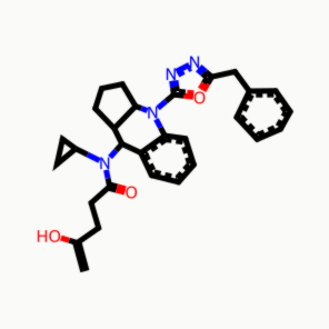 C=C(O)CCC(=O)N(C1CC1)C1c2ccccc2N(c2nnc(Cc3ccccc3)o2)C2CCCC21